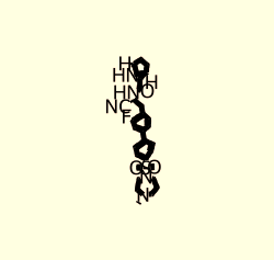 CN1CCCN(S(=O)(=O)c2ccc(-c3ccc(C[C@@H](C#N)NC(=O)C4N[C@@H]5CC[C@H]4C5)c(F)c3)cc2)CC1